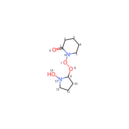 O=C1CCCCN1OOC1CCCN1O